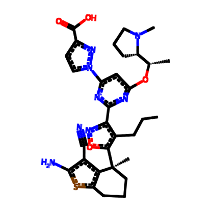 CCCc1c(-c2nc(O[C@@H](C)[C@@H]3CCCN3C)cc(-n3ccc(C(=O)O)n3)n2)noc1[C@@]1(C)CCCc2sc(N)c(C#N)c21